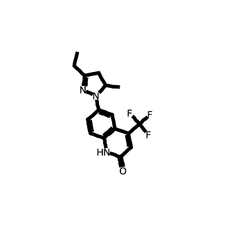 CCC1=NN(c2ccc3[nH]c(=O)cc(C(F)(F)F)c3c2)C(C)C1